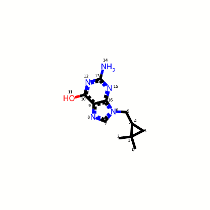 CC1(C)C[C]1Cn1cnc2c(O)nc(N)nc21